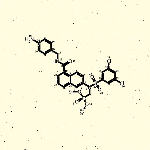 CCOP(=O)(CN(c1ccc2c(C(=O)NCc3ccc(N)cc3)cccc2c1)S(=O)(=O)c1cc(Cl)cc(Cl)c1)OCC